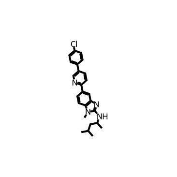 CC(C)CC(C)Nc1nc2cc(-c3ccc(-c4ccc(Cl)cc4)cn3)ccc2n1C